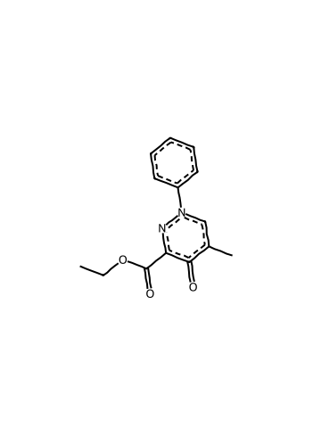 CCOC(=O)c1nn(-c2ccccc2)cc(C)c1=O